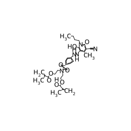 C=C(C)C(=O)OCCN(CCOC(O)C(=C)C)S(=O)(=O)c1ccc(NNc2c(C)c(C#N)c(=O)n(CCCC)c2O)cc1